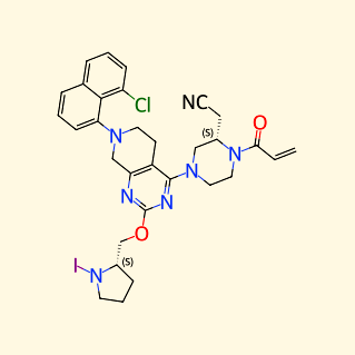 C=CC(=O)N1CCN(c2nc(OC[C@@H]3CCCN3I)nc3c2CCN(c2cccc4cccc(Cl)c24)C3)C[C@@H]1CC#N